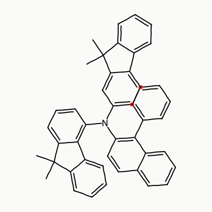 CC1(C)c2ccccc2-c2ccc(N(c3cccc4c3-c3ccccc3C4(C)C)c3ccc4ccccc4c3-c3ccccc3)cc21